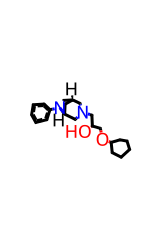 O[C@H](COC1CCCCC1)CN1C[C@@H]2C[C@H](C1)N(c1ccccc1)C2